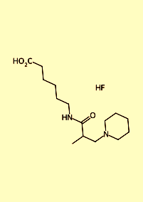 CC(CN1CCCCC1)C(=O)NCCCCCC(=O)O.F